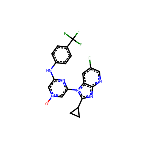 [O-][n+]1cc(Nc2ccc(C(F)(F)F)cc2)nc(-n2c(C3CC3)nc3ncc(F)cc32)c1